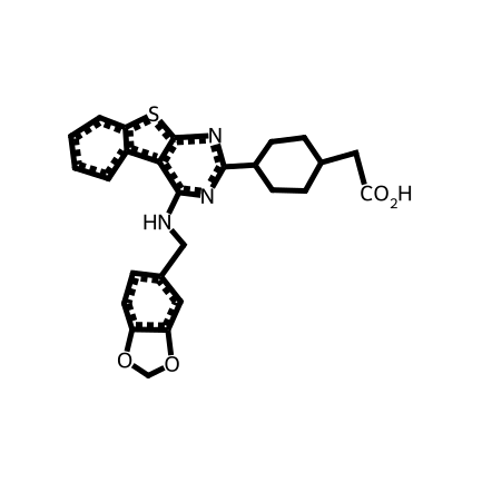 O=C(O)CC1CCC(c2nc(NCc3ccc4c(c3)OCO4)c3c(n2)sc2ccccc23)CC1